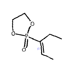 C/C=C(\CC)P1(=O)OCCO1